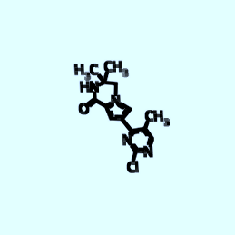 Cc1cnc(Cl)nc1-c1cc2n(c1)CC(C)(C)NC2=O